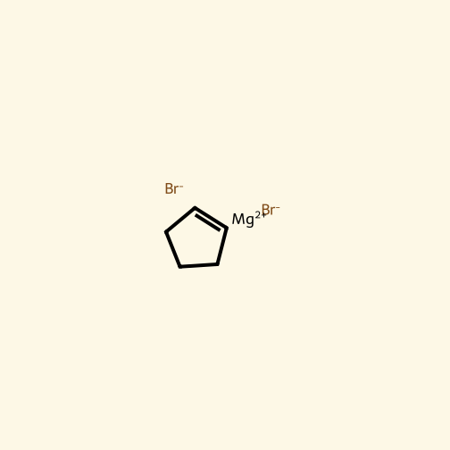 C1=CCCC1.[Br-].[Br-].[Mg+2]